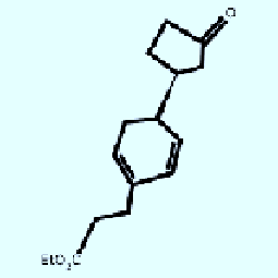 CCOC(=O)CCC1=CCC([C@H]2CCC(=O)C2)C=C1